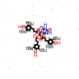 CC(C)(C)c1cc(CCC(=O)OC(Cn2c(=O)[nH]c(=O)[nH]c2=O)(OC(=O)CCc2cc(C(C)(C)C)c(O)c(C(C)(C)C)c2)OC(=O)CCc2cc(C(C)(C)C)c(O)c(C(C)(C)C)c2)cc(C(C)(C)C)c1O